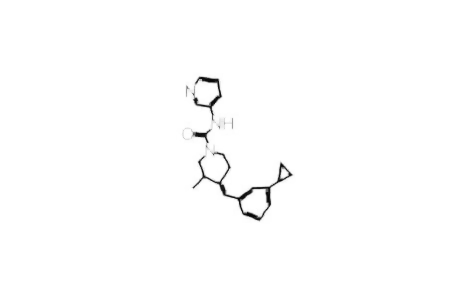 CC1CN(C(=O)Nc2cccnc2)CC/C1=C\c1cccc(C2CC2)c1